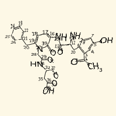 CC(=O)c1cc(O)ccc1C[C@H](N)C(=O)Nc1ccc(Cc2ccccc2)n(CC(=O)NC(C=O)CC(=O)O)c1=O